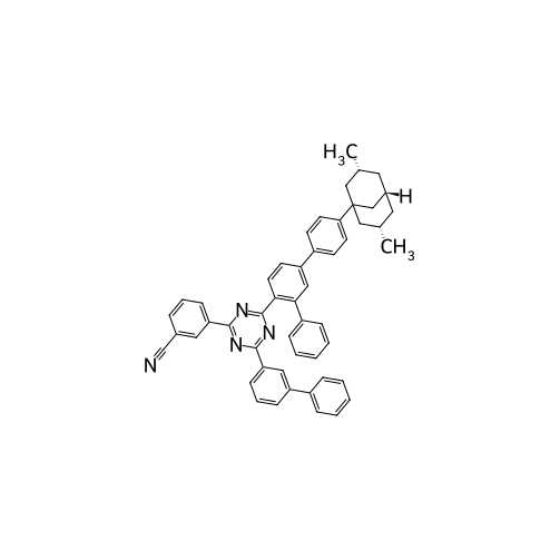 C[C@@H]1C[C@@H]2C[C@H](C)CC(c3ccc(-c4ccc(-c5nc(-c6cccc(C#N)c6)nc(-c6cccc(-c7ccccc7)c6)n5)c(-c5ccccc5)c4)cc3)(C1)C2